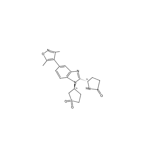 Cc1noc(C)c1-c1ccc2c(c1)nc([C@@H]1CCC(=O)N1)n2[C@H]1CCS(=O)(=O)C1